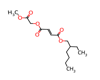 CCCCC(CC)COC(=O)/C=C/C(=O)OCC(=O)OC